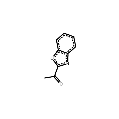 [CH2]C(=O)c1nc2ccccc2o1